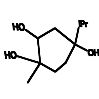 CC(C)C1(O)CCC(C)(O)C(O)C1